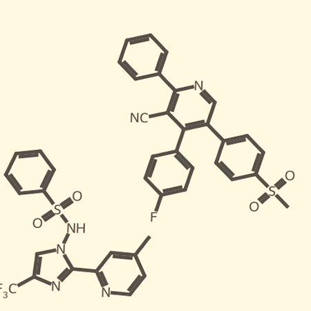 CS(=O)(=O)c1ccc(-c2cnc(-c3ccccc3)c(C#N)c2-c2ccc(F)cc2)cc1.Cc1ccnc(-c2nc(C(F)(F)F)cn2NS(=O)(=O)c2ccccc2)c1